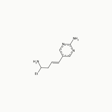 CCC(N)CC=Cc1cnc(N)nc1